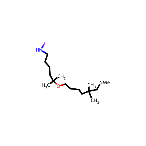 CNCC(C)(C)CCCCOC(C)(C)CCCCNI